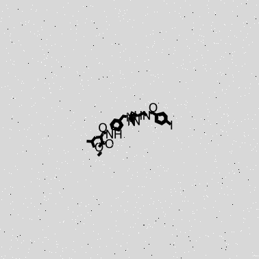 CCOC(=O)C(CC(C)C)C(=O)Nc1ccc(Cn2cc(CNC(=O)c3ccc(I)cc3)nn2)cc1